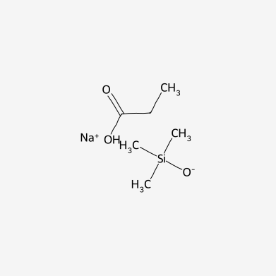 CCC(=O)O.C[Si](C)(C)[O-].[Na+]